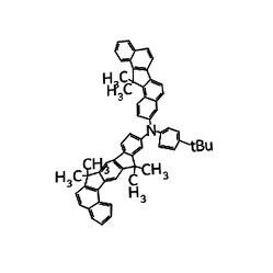 CC(C)(C)c1ccc(N(c2ccc3c(c2)C(C)(C)c2cc4c(cc2-3)C(C)(C)c2ccc3ccccc3c2-4)c2ccc3c4c(ccc3c2)-c2ccc3ccccc3c2C4(C)C)cc1